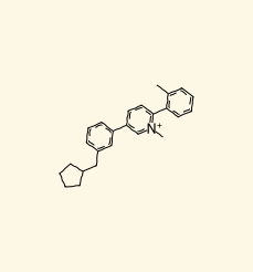 Cc1ccccc1-c1ccc(-c2cccc(CC3CCCC3)c2)c[n+]1C